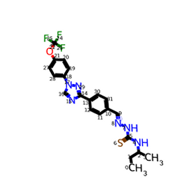 CCC(C)NC(=S)N/N=C/c1ccc(-c2ncn(-c3ccc(OC(F)(F)F)cc3)n2)cc1